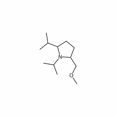 COCC1CCC(C(C)C)N1C(C)C